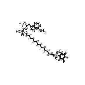 C[C@H](Cn1cnc2c(N)ncnc21)OCP(=O)(O)OCCCCCCCCCCCCCC#C[Si](C)(C)c1c(F)c(F)c(F)c(F)c1F